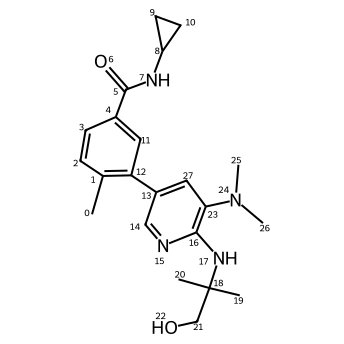 Cc1ccc(C(=O)NC2CC2)cc1-c1cnc(NC(C)(C)CO)c(N(C)C)c1